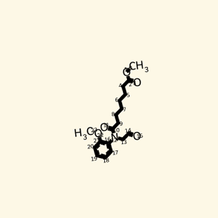 COC(=O)CCCCCCC(=O)N(CC=O)c1ccccc1OC